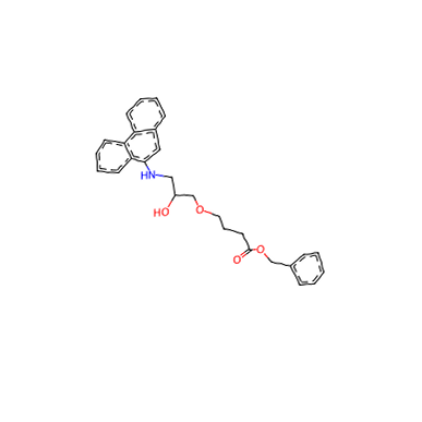 O=C(CCCOCC(O)CNc1cc2ccccc2c2ccccc12)OCc1ccccc1